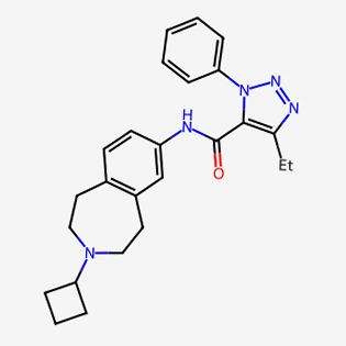 CCc1nnn(-c2ccccc2)c1C(=O)Nc1ccc2c(c1)CCN(C1CCC1)CC2